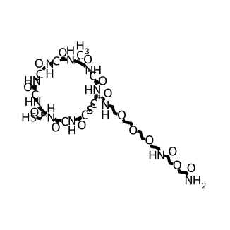 C[C@@H]1NC(=O)CNC(=O)CNC(=O)CNC(=O)[C@H](CS)NC(=O)CNC(=O)CSC[C@@H](C(=O)NCCOCCOCCOCCNC(=O)COCC(N)=O)NC(=O)CNC1=O